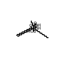 CCCCCCCCCCCCCOC(C(=O)O)(C(C(=O)O)C(=O)CCC)C(CCCCCCCCCCCCC)(CCCCCCCCCCCCC)C(=O)O